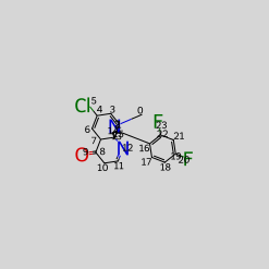 CN1C2=CC(Cl)=CC3C(=O)CC=NC23CC1c1ccc(F)cc1F